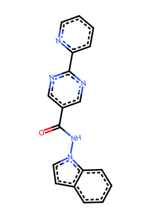 O=C(Nn1ccc2ccccc21)c1cnc(-c2ccccn2)nc1